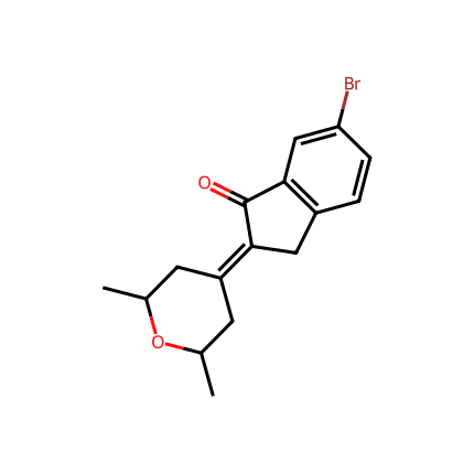 CC1CC(=C2Cc3ccc(Br)cc3C2=O)CC(C)O1